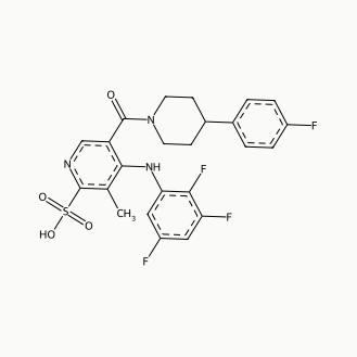 Cc1c(S(=O)(=O)O)ncc(C(=O)N2CCC(c3ccc(F)cc3)CC2)c1Nc1cc(F)cc(F)c1F